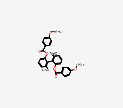 CCCCCCOc1ccc(C(=O)Oc2cccc(OC)c2-c2c(OC)cccc2OC(=O)c2ccc(OCCCCCC)cc2)cc1